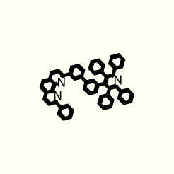 c1ccc(-c2ccc3ccc4ccc(-c5cccc(-c6cccc(-c7c(-c8ccccc8)c(-c8ccccc8)nc(-c8ccccc8)c7-c7ccccc7)c6)c5)nc4c3n2)cc1